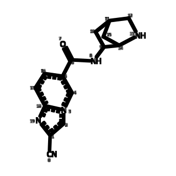 N#Cc1cn2cc(C(=O)NC3CC4CNC3C4)ccc2n1